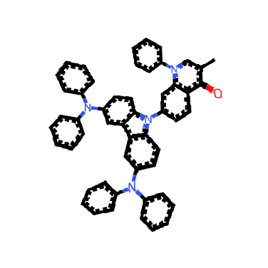 Cc1cn(-c2ccccc2)c2cc(-n3c4ccc(N(c5ccccc5)c5ccccc5)cc4c4cc(N(c5ccccc5)c5ccccc5)ccc43)ccc2c1=O